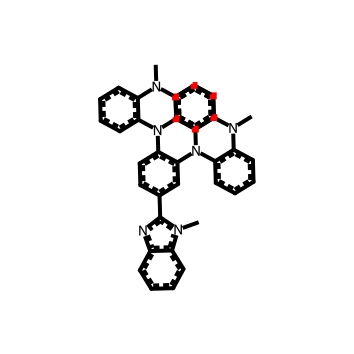 CN1c2ccccc2N(c2ccc(-c3nc4ccccc4n3C)cc2N2c3ccccc3N(C)c3ccccc32)c2ccccc21